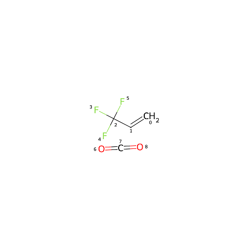 C=CC(F)(F)F.O=C=O